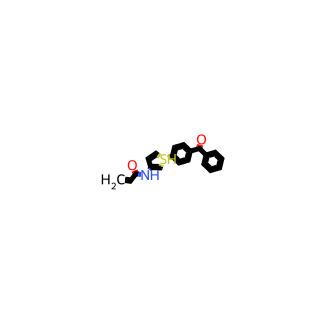 C=CC(=O)NC1=C[SH](c2ccc(C(=O)c3ccccc3)cc2)C=C1